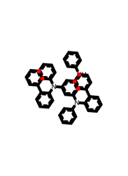 c1ccc(Nc2cc(N(c3ccccc3)c3ccccc3-c3ccccc3)cc(N(c3ccccc3)c3ccccc3-c3ccccc3)c2)cc1